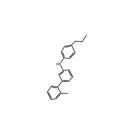 Cc1ccccc1-c1cccc(Nc2ccc(CCI)cc2)c1